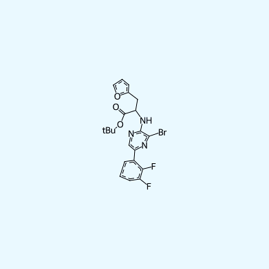 CC(C)(C)OC(=O)C(Cc1ccco1)Nc1ncc(-c2cccc(F)c2F)nc1Br